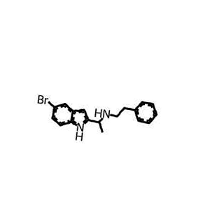 CC(NCCc1ccccc1)c1cc2cc(Br)ccc2[nH]1